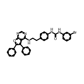 O=C(Nc1ccc(CCNc2ncnc3oc(-c4ccccc4)c(-c4ccccc4)c23)cc1)Nc1cccc(Br)c1